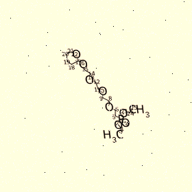 CCOP(=O)(CCOCCOCCOCCOC1CCCCO1)OCC